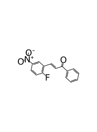 O=C(/C=C/c1cc([N+](=O)[O-])ccc1F)c1ccccc1